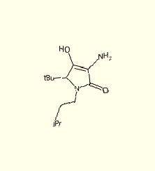 CC(C)CCN1C(=O)C(N)=C(O)C1C(C)(C)C